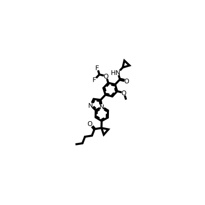 CCCCC(=O)C1(c2ccn3c(-c4cc(OC)c(C(=O)NC5CC5)c(OC(F)F)c4)cnc3c2)CC1